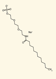 CCCCCCCCCCCC(=O)NCCOCCOCCOS(=O)(=O)[O-].[Na+]